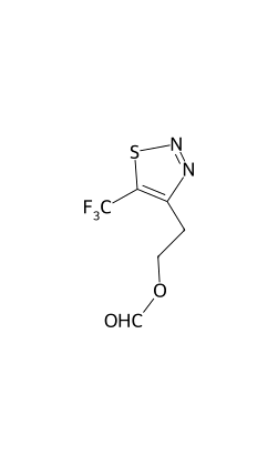 O=COCCc1nnsc1C(F)(F)F